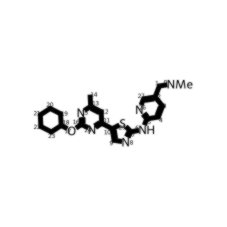 CNCc1ccc(Nc2ncc(-c3cc(C)nc(OC4CCCCC4)n3)s2)nc1